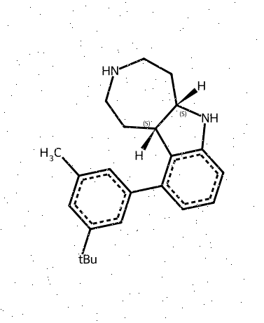 Cc1cc(-c2cccc3c2[C@@H]2CCNCC[C@@H]2N3)cc(C(C)(C)C)c1